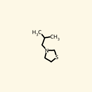 C[C](C)CN1CCSC1